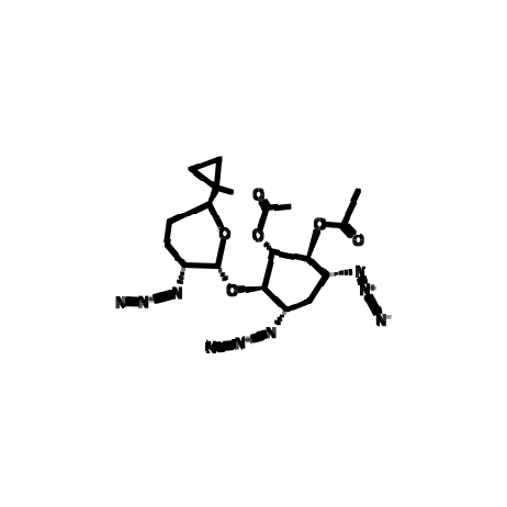 CC(=O)O[C@@H]1[C@@H](OC(C)=O)[C@H](N=[N+]=[N-])C[C@H](N=[N+]=[N-])[C@H]1O[C@H]1O[C@H](C2(C)CC2)CC[C@H]1N=[N+]=[N-]